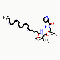 CC/C=C\C/C=C\C/C=C\C/C=C\C/C=C\CCCC(=O)N[C@H](C(=O)O[C@H](C)CNC(=O)c1cccnc1)C(C)C